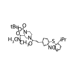 CC(C)c1ccccc1Sc1ccc(C=CC(=O)N2CCN(C(=O)OC(C)(C)C)C(C(=O)N(C)C)C2)cc1[N+](=O)[O-]